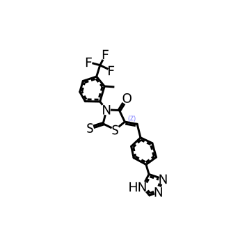 Cc1c(N2C(=O)/C(=C/c3ccc(-c4nnc[nH]4)cc3)SC2=S)cccc1C(F)(F)F